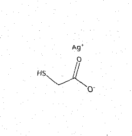 O=C([O-])CS.[Ag+]